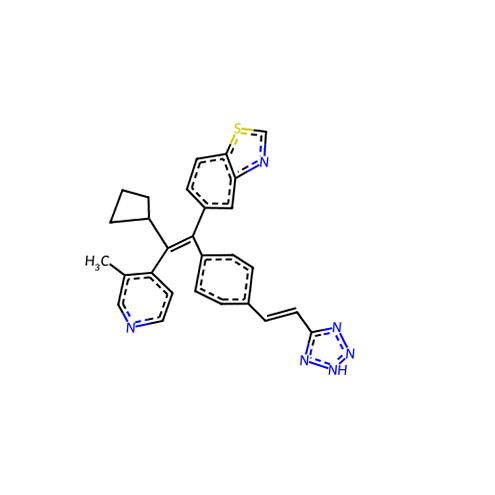 Cc1cnccc1/C(=C(\c1ccc(/C=C/c2nn[nH]n2)cc1)c1ccc2scnc2c1)C1CCC1